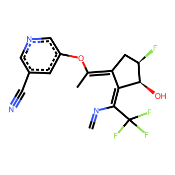 C=N/C(=C1\C(=C(/C)Oc2cncc(C#N)c2)C[C@@H](F)[C@H]1O)C(F)(F)F